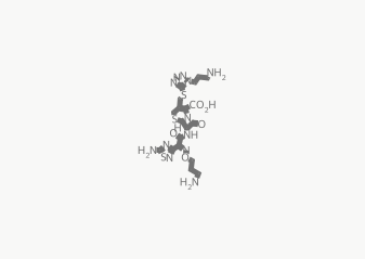 NCCCON=C(C(=O)NC1C(=O)N2C(C(=O)O)=C(CSc3nnnn3CCCN)CS[C@@H]12)c1nsc(N)n1